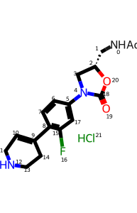 CC(=O)NC[C@H]1CN(c2ccc(C3=CCNCC3)c(F)c2)C(=O)O1.Cl